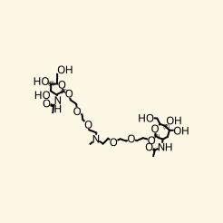 CC(=O)NC1CC(O)[C@@H](O)C(CO)O[C@H]1OCCOCCOCCN(C)CCOCCOCCO[C@@H]1OC(CO)[C@H](O)C(O)C1NC(C)=O